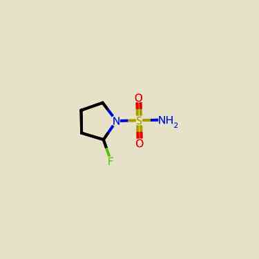 NS(=O)(=O)N1CCCC1F